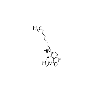 CCCCCCCCNc1ccc(F)c(C(N)=O)c1F